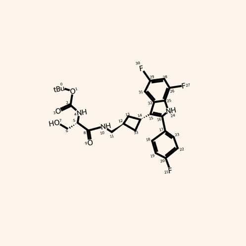 CC(C)(C)OC(=O)N[C@@H](CO)C(=O)NC[C@H]1C[C@H](c2c(-c3ccc(F)cc3)[nH]c3c(F)cc(F)cc32)C1